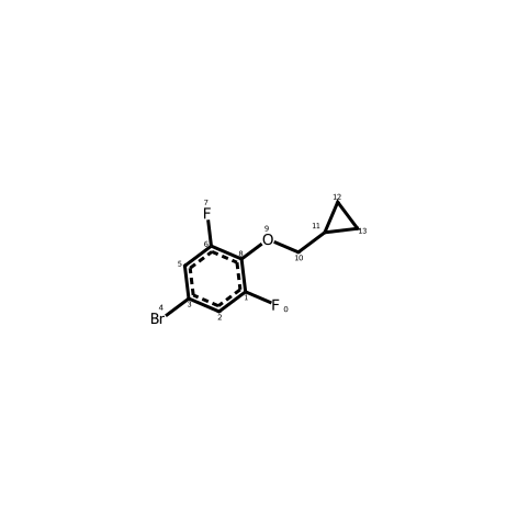 Fc1cc(Br)cc(F)c1OCC1CC1